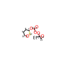 CCC1(OOC(=O)OC2CCCOS2)CO1